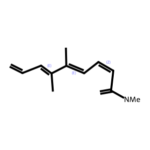 C=C/C=C(C)/C(C)=C/C=C\C(=C)NC